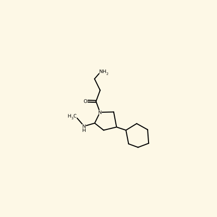 CNC1CC(C2CCCCC2)CN1C(=O)CCN